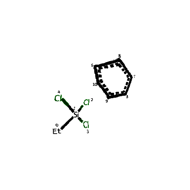 CC[Si](Cl)(Cl)Cl.[c]1ccccc1